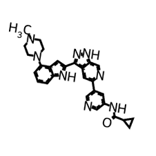 CN1CCN(c2cccc3[nH]c(-c4n[nH]c5cnc(-c6cncc(NC(=O)C7CC7)c6)cc45)cc23)CC1